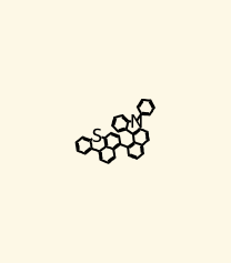 c1ccc(-n2c3ccccc3c3c4c(-c5ccc6c7c(cccc57)-c5ccccc5S6)cccc4ccc32)cc1